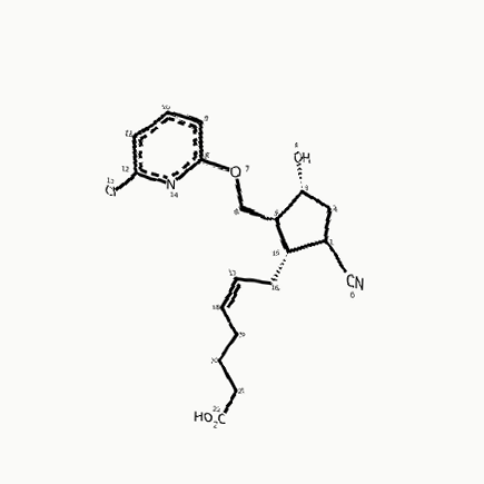 N#CC1C[C@@H](O)[C@H](COc2cccc(Cl)n2)[C@H]1C/C=C\CCCC(=O)O